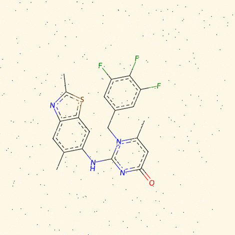 Cc1nc2cc(C)c(Nc3nc(=O)cc(C)n3Cc3cc(F)c(F)c(F)c3)cc2s1